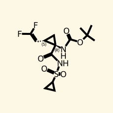 CC(C)(C)OC(=O)N[C@]1(C(=O)NS(=O)(=O)C2CC2)C[C@H]1C=C(F)F